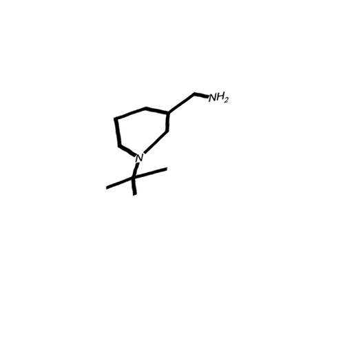 CC(C)(C)N1CCCC(CN)C1